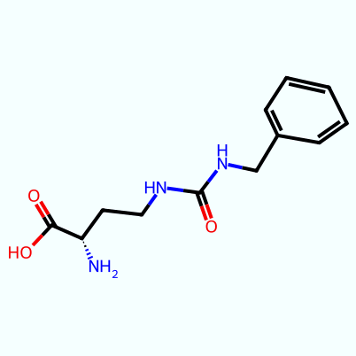 N[C@@H](CCNC(=O)NCc1ccccc1)C(=O)O